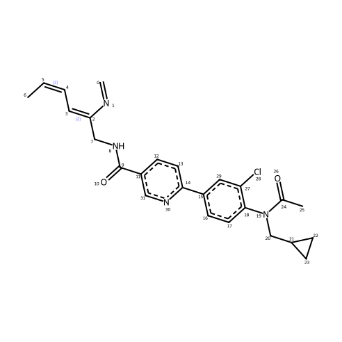 C=N/C(=C\C=C/C)CNC(=O)c1ccc(-c2ccc(N(CC3CC3)C(C)=O)c(Cl)c2)nc1